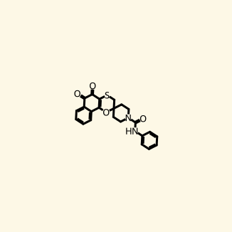 O=C1C(=O)c2ccccc2C2=C1SCC1(CCN(C(=O)Nc3ccccc3)CC1)O2